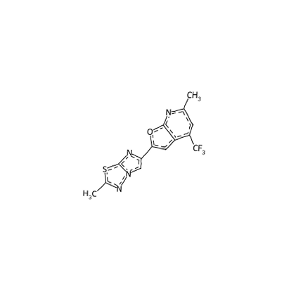 Cc1cc(C(F)(F)F)c2cc(-c3cn4nc(C)sc4n3)oc2n1